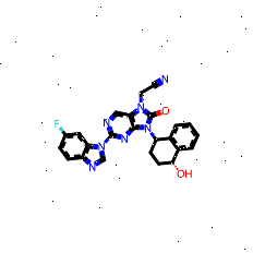 N#CCn1c(=O)n(C2CC[C@@H](O)c3ccccc32)c2nc(-n3cnc4ccc(F)cc43)ncc21